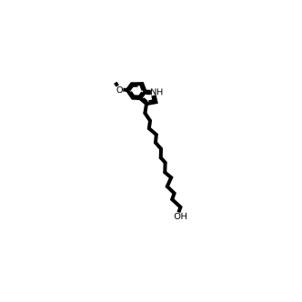 COc1ccc2[nH]cc(CCCCCCCCCCCCCCO)c2c1